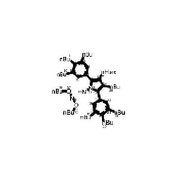 CCCCCCC1=C(c2cc(CCCC)c(CCCC)c(CCCC)c2)[N+](=[N-])C(c2cc(CCCC)c(CCCC)c(CCCC)c2)=C1CCCC.CCCC[O][Ni][O]CCCC